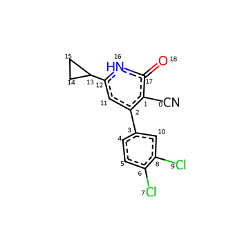 N#Cc1c(-c2ccc(Cl)c(Cl)c2)cc(C2CC2)[nH]c1=O